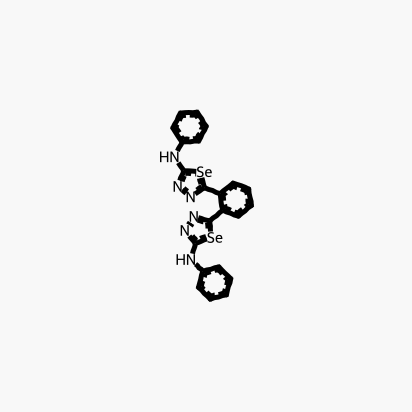 c1ccc(Nc2nnc(-c3ccccc3-c3nnc(Nc4ccccc4)[se]3)[se]2)cc1